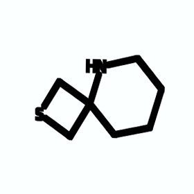 C1CCC2(CSC2)NC1